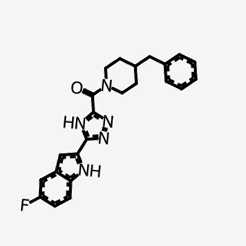 O=C(c1nnc(-c2cc3cc(F)ccc3[nH]2)[nH]1)N1CCC(Cc2ccccc2)CC1